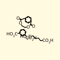 O=C(O)CCCCC(=O)O.O=C(O)c1cccc(C(=O)O)c1.O=C1OCCOC(=O)c2ccc1cc2